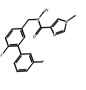 CC(C)N(Cc1ccc(F)c(-c2cccc(F)c2)c1)C(=O)c1cn(C)cn1